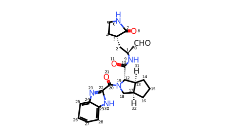 O=C[C@H](C[C@@H]1CCNC1=O)NC(=O)[C@@H]1[C@H]2CCC[C@H]2CN1C(=O)c1nc2ccccc2[nH]1